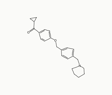 O=C(c1ccc(OCc2ccc(CN3CCCCC3)cc2)cc1)C1CC1